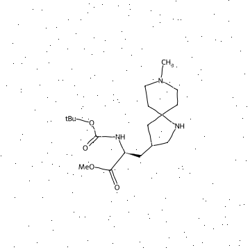 COC(=O)[C@H](CC1CNC2(CCN(C)CC2)C1)NC(=O)OC(C)(C)C